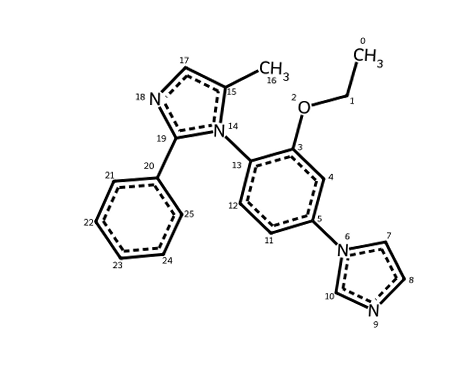 CCOc1cc(-n2ccnc2)ccc1-n1c(C)cnc1-c1ccccc1